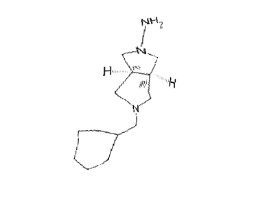 NN1C[C@@H]2CN(CC3CCCCC3)C[C@@H]2C1